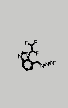 [N-]=[N+]=NCc1cccc2ncn(C(F)C(F)F)c12